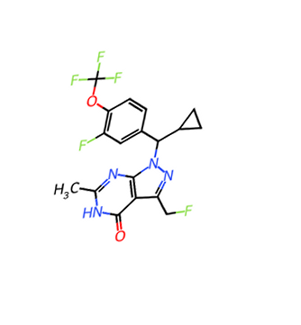 Cc1nc2c(c(CF)nn2C(c2ccc(OC(F)(F)F)c(F)c2)C2CC2)c(=O)[nH]1